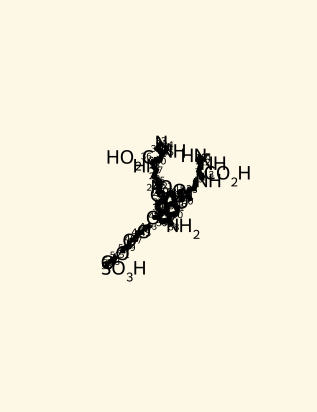 CN(CCCNC(CC1=CNCN1)C(=O)O)S(=O)(=O)c1cc(S(=O)(=O)N(C)CCCNC(Cc2cnc[nH]2)C(=O)O)c2ccc3c(OCCOCCOCCOCCOS(=O)(=O)O)cc(N)c4ccc1c2c43